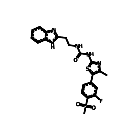 Cc1nc(NC(=O)NCCc2nc3ccccc3[nH]2)sc1-c1ccc(S(C)(=O)=O)c(F)c1